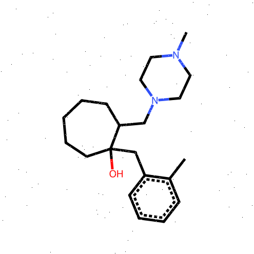 Cc1ccccc1CC1(O)CCCCCC1CN1CCN(C)CC1